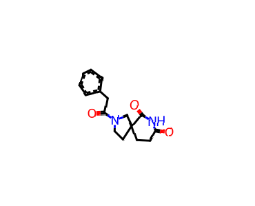 O=C1CCC2(CCN(C(=O)Cc3ccccc3)C2)C(=O)N1